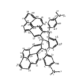 CN(C)c1ccc(N2c3cccc4c3B(c3cc5ccc6cccc7ccc(c32)c5c67)c2cc3ccc5cccc6ccc(c2N4c2ccc(N(C)C)cc2)c3c56)cc1